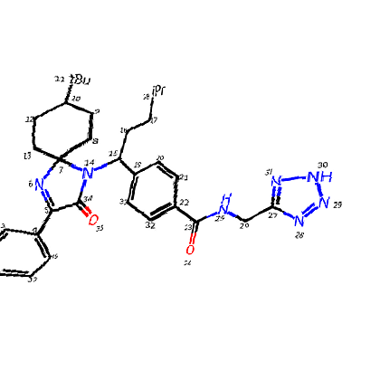 Cc1ccc(C2=NC3(CCC(C(C)(C)C)CC3)N(C(CCC(C)C)c3ccc(C(=O)NCc4nn[nH]n4)cc3)C2=O)cc1